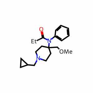 CCC(=O)N(c1ccccc1)C1(COC)CCN(CC2CC2)CC1